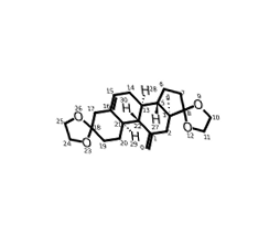 C=C1C[C@@]2(C)[C@@H](CCC23OCCO3)[C@@H]2CC=C3CC4(CC[C@@H]3[C@@H]12)OCCO4